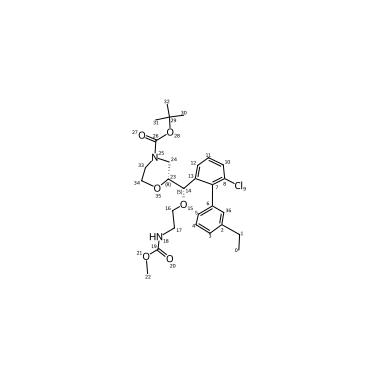 CCc1cccc(-c2c(Cl)cccc2[C@H](OCCNC(=O)OC)[C@H]2CN(C(=O)OC(C)(C)C)CCO2)c1